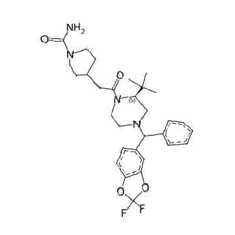 CC(C)(C)[C@H]1CN(C(c2ccccc2)c2ccc3c(c2)OC(F)(F)O3)CCN1C(=O)CC1CCN(C(N)=O)CC1